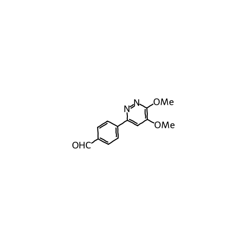 COc1cc(-c2ccc(C=O)cc2)nnc1OC